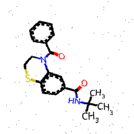 CC(C)(C)NC(=O)c1ccc2c(c1)N(C(=O)c1ccccc1)CCS2